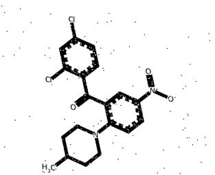 CC1CCN(c2ccc([N+](=O)[O-])cc2C(=O)c2ccc(Cl)cc2Cl)CC1